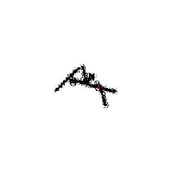 CCCCCCCCCCC(CCCCCCCC)COC(=O)CCCCCCC(CCCCCC(=O)OCC(CCCCCCCC)CCCCCCCCCC)N(CCCN(C)C)C(=O)CCCCCCCC